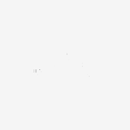 Nc1ccc(C=CC(=O)c2ccc(-c3cccs3)cc2)cc1